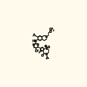 O=C1c2sc(-c3nc(Nc4cc5c(cc4C4CC4)CN(CCOC(F)(F)F)CC5)ncc3C(F)(F)F)cc2S(=O)(=O)CCN1C1CC1